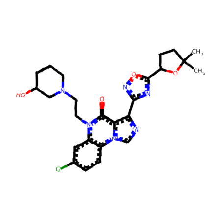 CC1(C)CCC(c2nc(-c3ncn4c3c(=O)n(CCN3CCCC(O)C3)c3cc(Cl)ccc34)no2)O1